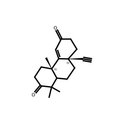 C#C[C@]12CCC(=O)C=C1[C@@]1(C)CCC(=O)C(C)(C)C1CC2